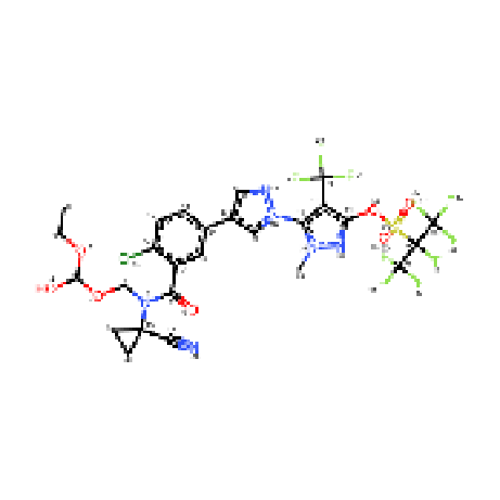 CCOC(O)OCN(C(=O)c1cc(-c2cnn(-c3c(C(F)(F)F)c(OS(=O)(=O)C(F)(C(F)(F)F)C(F)(F)F)nn3C)c2)ccc1Cl)C1(C#N)CC1